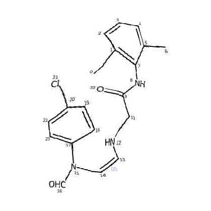 Cc1cccc(C)c1NC(=O)CN/C=C\N(C=O)c1ccc(Cl)cc1